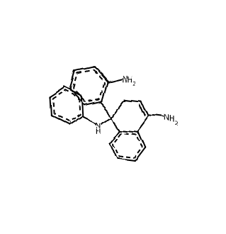 NC1=CCC(Nc2ccccc2)(c2ccccc2N)c2ccccc21